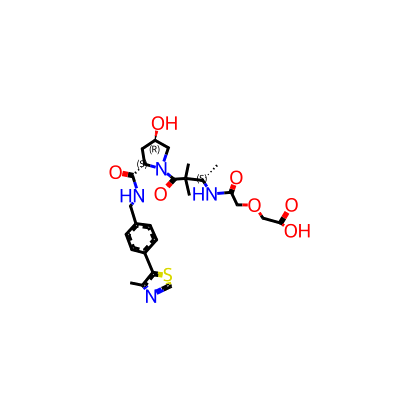 Cc1ncsc1-c1ccc(CNC(=O)[C@@H]2C[C@@H](O)CN2C(=O)C(C)(C)[C@H](C)NC(=O)COCC(=O)O)cc1